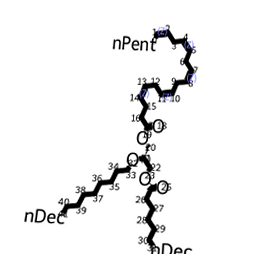 CCCCC/C=C\C/C=C\C/C=C\C/C=C\C/C=C\CCC(=O)OC[C@H](COC(=O)CCCCCCCCCCCCCCC)OCCCCCCCCCCCCCCCCCC